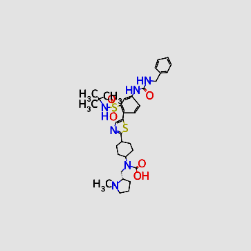 CN1CCC[C@H]1CN(C(=O)O)C1CCC(c2ncc(-c3ccc(NC(=O)NCc4ccccc4)cc3S(=O)(=O)NC(C)(C)C)s2)CC1